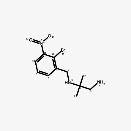 CC(C)(CN)NCc1cccc([N+](=O)[O-])c1Br